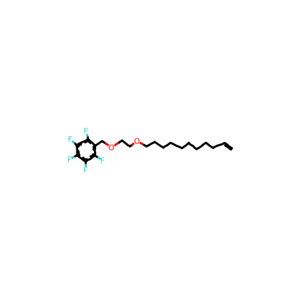 C=CCCCCCCCCCOCCOCc1c(F)c(F)c(F)c(F)c1F